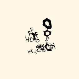 CS(=O)(=O)N[C@H]1CCN[C@H]1CO[C@H]1CC[C@@H](c2ccccc2)CC1.O=C(O)C(F)(F)F